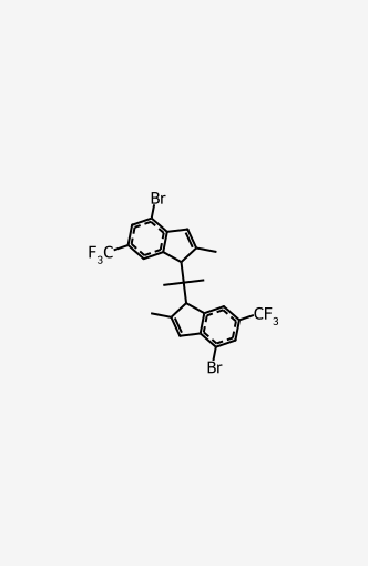 CC1=Cc2c(Br)cc(C(F)(F)F)cc2C1C(C)(C)C1C(C)=Cc2c(Br)cc(C(F)(F)F)cc21